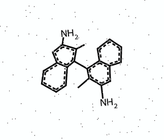 Cc1c(N)cc2ccccc2c1-c1c(C)c(N)cc2ccccc12